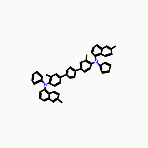 Cc1ccc2c(N(c3ccccc3)c3ccc(-c4ccc(-c5ccc(N(c6ccccc6)c6cccc7cc(C)ccc67)c(C)c5)cc4)cc3C)cccc2c1